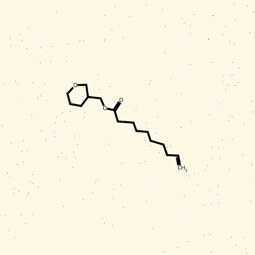 C=CCCCCCCCC(=O)OCC1CCCOC1